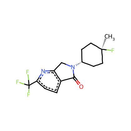 C[C@]1(F)CC[C@H](N2Cc3nc(C(F)(F)F)ccc3C2=O)CC1